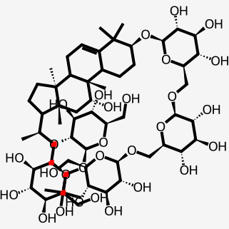 C[C@H](CC[C@@H](O[C@@H]1O[C@H](CO)[C@@H](O)[C@H](O)[C@H]1O[C@@H]1OC(CO)[C@@H](O)[C@H](O)[C@H]1O)C(C)(C)O)C1CC[C@@]2(C)C3CC=C4C(CC[C@H](O[C@@H]5O[C@H](CO[C@@H]6O[C@H](CO[C@@H]7O[C@H](CO)[C@@H](O)[C@H](O)[C@H]7O)[C@@H](O)[C@H](O)[C@H]6O)[C@@H](O)[C@H](O)[C@H]5O)C4(C)C)[C@]3(C)[C@H](O)C[C@]12C